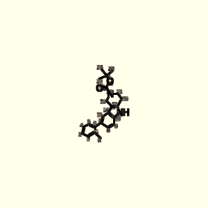 Cc1ccccc1-c1ccc2[nH]c3c(c2c1)CN(C(=O)OC(C)(C)C)CC3